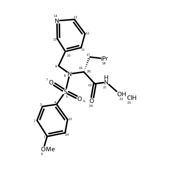 COc1ccc(S(=O)(=O)N(Cc2cccnc2)[C@H](CC(C)C)C(=O)NO)cc1.Cl